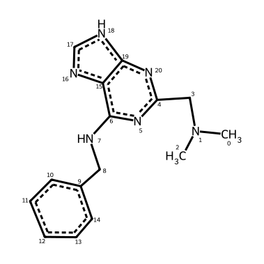 CN(C)Cc1nc(NCc2ccccc2)c2nc[nH]c2n1